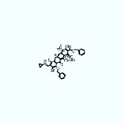 CN(C)[C@@H]1c2onc(OCc3ccccc3)c2C(=O)[C@@]2(O[Si](C)(C)C(C)(C)C)C(O)=C3C(=O)c4c(c(F)c(CNC5CC5)c(Br)c4OCc4ccccc4)C[C@H]3C[C@@H]12